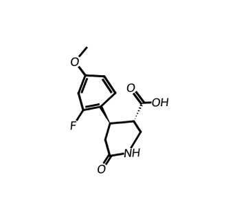 COc1ccc([C@@H]2CC(=O)NC[C@H]2C(=O)O)c(F)c1